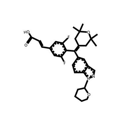 CC1(C)CC(=C(c2ccc3c(cnn3C3CCCCO3)c2)c2c(F)cc(/C=C/C(=O)O)cc2F)CC(C)(C)O1